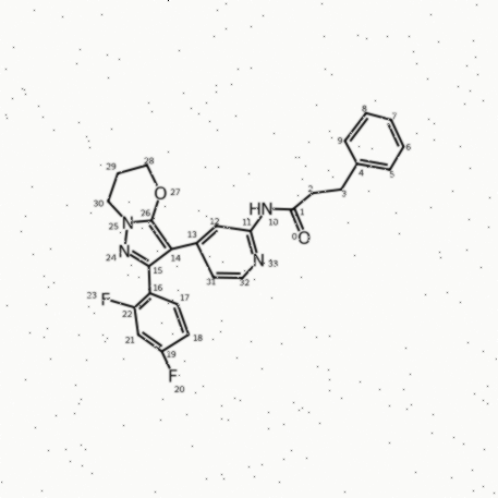 O=C(CCc1ccccc1)Nc1cc(-c2c(-c3ccc(F)cc3F)nn3c2OCCC3)ccn1